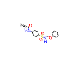 CCC(C)C(=O)Nc1ccc(S(=O)(=O)NCOc2ccccc2)cc1